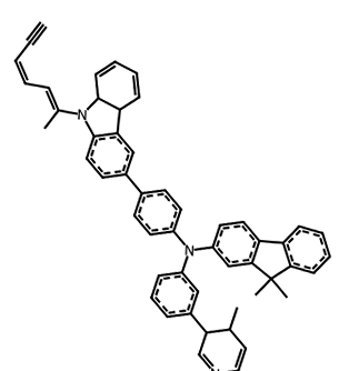 C#C/C=C\C=C(/C)N1c2ccc(-c3ccc(N(c4cccc(C5C=NC=CC5C)c4)c4ccc5c(c4)C(C)(C)c4ccccc4-5)cc3)cc2C2C=CC=CC21